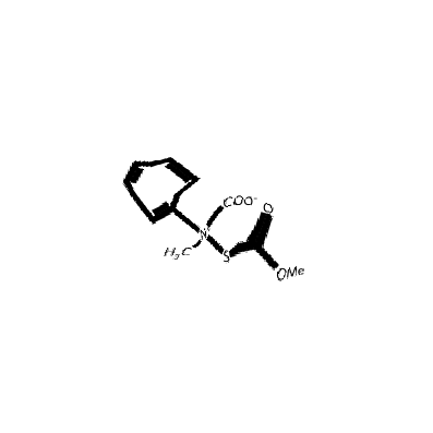 COC(=O)S[N+](C)(C(=O)[O-])c1ccccc1